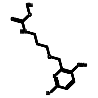 COc1ccc(Br)nc1COCCCNC(=O)OC(C)(C)C